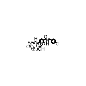 CN(CCNC(=O)c1ccc(C(=O)NCc2ccc(Cl)cc2)c(=O)n1CCO)C(=O)OC(C)(C)C